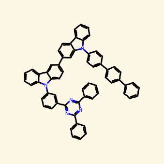 c1ccc(-c2ccc(-c3ccc(-n4c5ccccc5c5ccc(-c6ccc7c(c6)c6ccccc6n7-c6cccc(-c7nc(-c8ccccc8)nc(-c8ccccc8)n7)c6)cc54)cc3)cc2)cc1